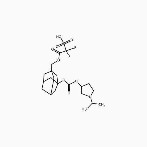 CC(C)N1CCC(OC(=O)OC23CC4CC(CC(COC(=O)C(F)(F)S(=O)(=O)O)(C4)C2)C3)C1